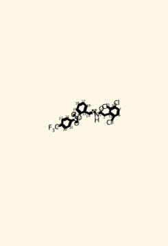 O=C(Cc1c(Cl)ccc(Cl)c1Cl)N/N=C/c1ccccc1OS(=O)(=O)c1ccc(C(F)(F)F)cc1